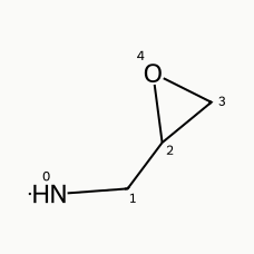 [NH]CC1CO1